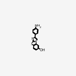 Nc1ccc(-c2cn3c(n2)sc2ccc(O)cc23)cc1